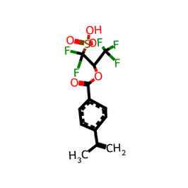 C=C(C)c1ccc(C(=O)OC(C(F)(F)F)C(F)(F)S(=O)(=O)O)cc1